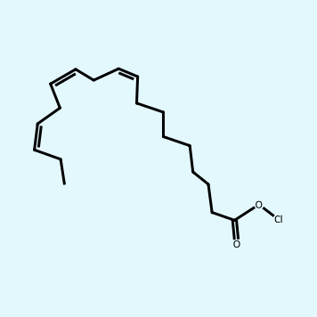 CC/C=C\C/C=C\C/C=C\CCCCCCCC(=O)OCl